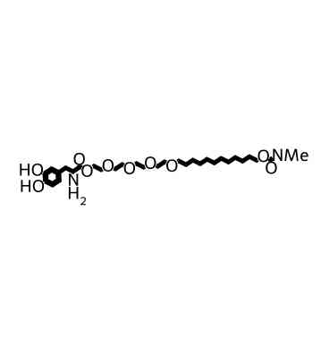 CNC(=O)OCCCCCCCCCCCCOCCOCCOCCOCCOC(=O)[C@H](N)Cc1ccc(O)c(O)c1